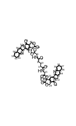 CC[C@@]1(OC(=O)CNC(=O)CCCC(=O)NCC(=O)O[C@]2(CC)C(=O)OCc3c2cc2n(c3=O)Cc3cc4ccccc4nc3-2)C(=O)OCc2c1cc1n(c2=O)Cc2cc3ccccc3nc2-1